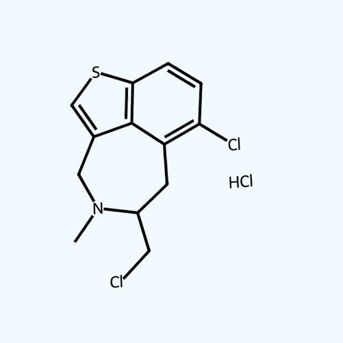 CN1Cc2csc3ccc(Cl)c(c23)CC1CCl.Cl